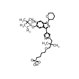 CC(C)(COCCCCS(=O)(=O)O)Cn1cc(-c2nn(C3CCCCO3)c3ccc(O[Si](C)(C)C(C)(C)C)cc23)cn1